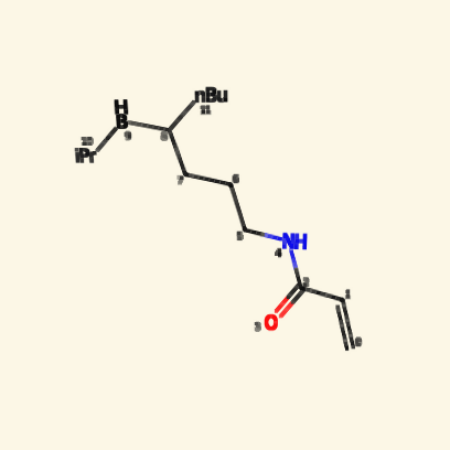 C=CC(=O)NCCCC(BC(C)C)CCCC